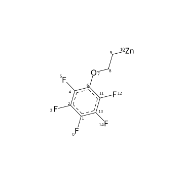 Fc1c(F)c(F)c(OC[CH2][Zn])c(F)c1F